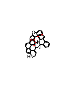 C1=[N+]=C(c2nc(C3=CCNc4ccc5ccc6ccccc6c5c43)nc(-c3ccccc3-c3ccccc3)n2)c2c1oc1ccccc21